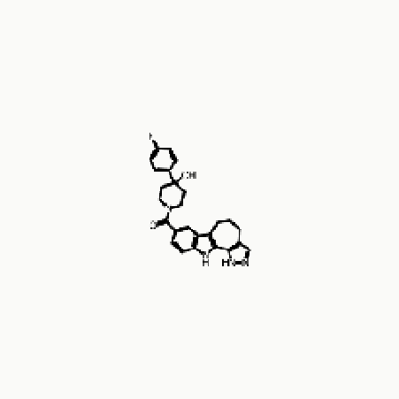 O=C(c1ccc2[nH]c3c(c2c1)CCCc1cn[nH]c1-3)N1CCC(O)(c2ccc(F)cc2)CC1